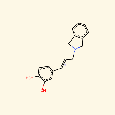 Oc1ccc(/C=C/CN2Cc3ccccc3C2)cc1O